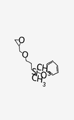 C[Si](C)(CCCOCC1CO1)Oc1ccccc1